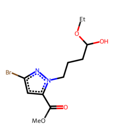 CCOC(O)CCCn1nc(Br)cc1C(=O)OC